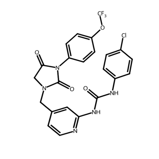 O=C(Nc1ccc(Cl)cc1)Nc1cc(CN2CC(=O)N(c3ccc(OC(F)(F)F)cc3)C2=O)ccn1